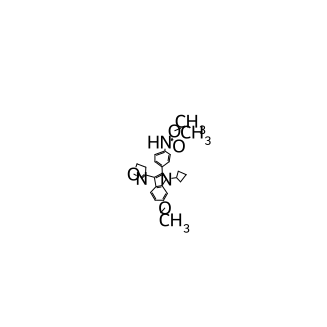 CCOc1ccc2c(C3=NOCC3)c(-c3ccc(NC(=O)OC(C)C)cc3)n(C3CCC3)c2c1